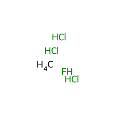 C.Cl.Cl.Cl.F